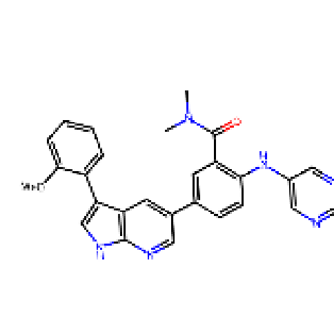 COc1ccccc1-c1c[nH]c2ncc(-c3ccc(Nc4cncnc4)c(C(=O)N(C)C)c3)cc12